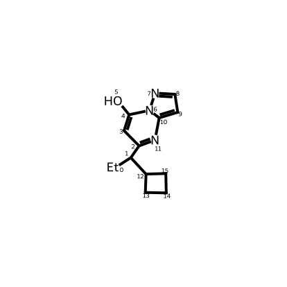 CCC(c1cc(O)n2nccc2n1)C1CCC1